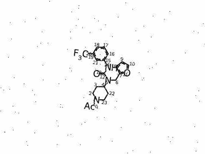 CC(=O)N1CCC(N(Cc2ccco2)C(=O)Nc2cccc(C(F)(F)F)c2)CC1